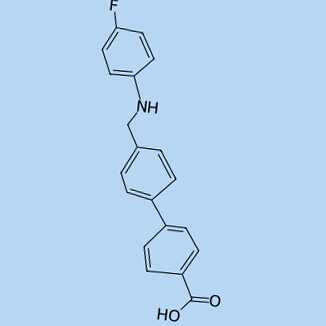 O=C(O)c1ccc(-c2ccc(CNc3ccc(F)cc3)cc2)cc1